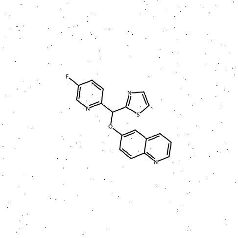 Fc1ccc(C(Oc2ccc3ncccc3c2)c2nccs2)nc1